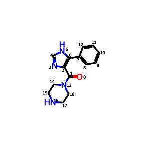 O=C(c1nc[nH]c1-c1ccccc1)N1CCNCC1